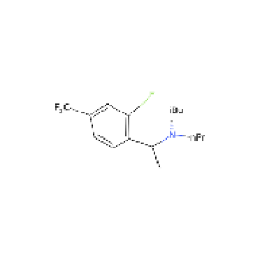 CCCN(C(C)c1ccc(C(F)(F)F)cc1F)[C@@H](C)CC